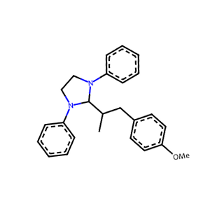 COc1ccc(CC(C)C2N(c3ccccc3)CCN2c2ccccc2)cc1